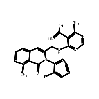 Cc1cccc2cc(CNc3ncnc(N)c3C(=N)C#N)n(-c3ccccc3F)c(=O)c12